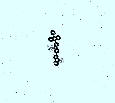 CC1(C)c2cc(F)ccc2-c2ccc(-c3ccc4c(c3)C(C)(C)c3cc(-c5c6ccccc6c(-c6ccccc6)c6ccccc56)ccc3-4)cc21